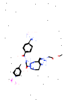 CCOC(=O)Cn1cc2c(n1)CC1CCC2N1C(=O)[C@H](Cc1ccc([N+](=O)[O-])cc1)NC(=O)c1ccc(C(=N)NO)cc1